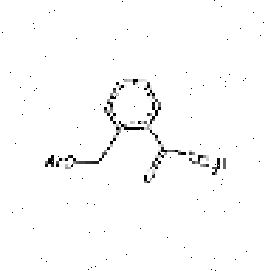 CC(=O)OCc1ccccc1C(=O)C(=O)O